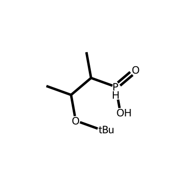 CC(OC(C)(C)C)C(C)[PH](=O)O